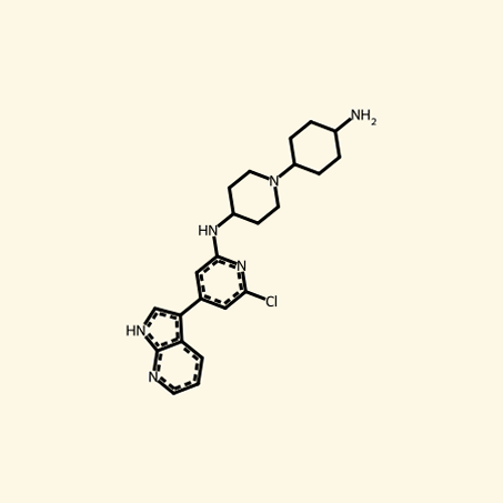 NC1CCC(N2CCC(Nc3cc(-c4c[nH]c5ncccc45)cc(Cl)n3)CC2)CC1